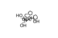 C[N+](C)(C)CCO.O=C(O)c1ccccc1O.O=C([O-])c1ccccc1O